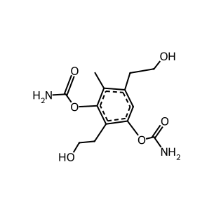 Cc1c(CCO)cc(OC(N)=O)c(CCO)c1OC(N)=O